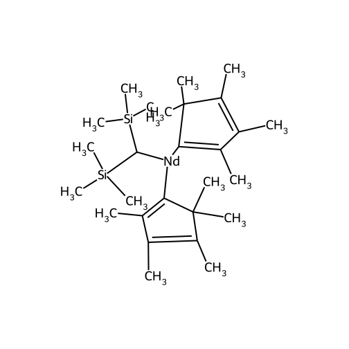 CC1=C(C)C(C)(C)[C]([Nd]([C]2=C(C)C(C)=C(C)C2(C)C)[CH]([Si](C)(C)C)[Si](C)(C)C)=C1C